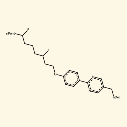 CCCCCCCCCCCc1cnc(-c2ccc(OCCC(F)CCCC(F)CCCCC)cc2)nc1